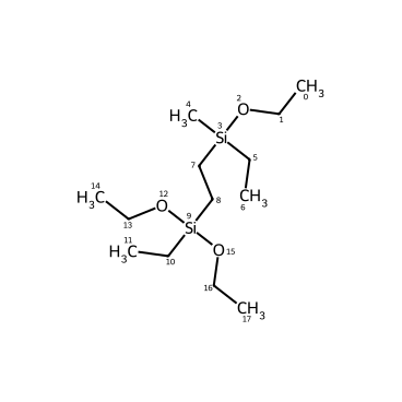 CCO[Si](C)(CC)CC[Si](CC)(OCC)OCC